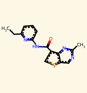 CCc1cccc(NC(=O)c2csc3cnc(C)nc23)n1